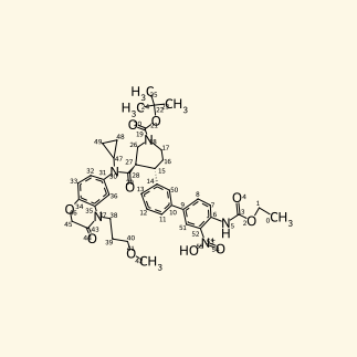 CCOC(=O)Nc1ccc(-c2cccc([C@H]3CCN(C(=O)OC(C)(C)C)C[C@@H]3C(=O)N(c3ccc4c(c3)N(CCCOC)C(=O)CO4)C3CC3)c2)cc1[N+](=O)O